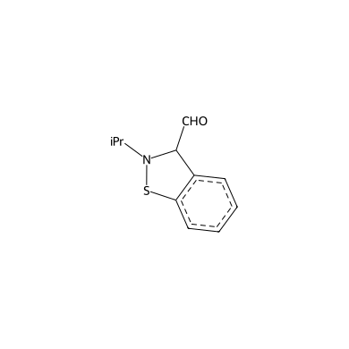 CC(C)N1Sc2ccccc2C1C=O